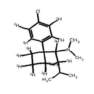 [2H]c1c([2H])c(C2(C([2H])(N(C)C)C([2H])([2H])C(C)C)C([2H])([2H])C([2H])([2H])C2([2H])[2H])c([2H])c([2H])c1Cl